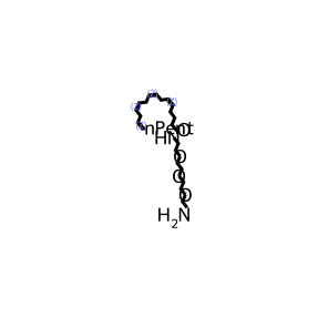 CCCCC/C=C\C/C=C\C/C=C\C/C=C\CCCC(=O)NCCOCCOCCOCCN